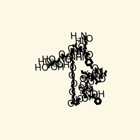 CC[C@H](C)[C@@H]([C@@H](CC(=O)N1CCC[C@H]1[C@H](OC)[C@@H](C)C(=O)N[C@H](C)C(O)c1ccccc1)OC)N(C)C(=O)[C@@H](NC(=O)[C@H](C(C)C)N(C)C(=O)OCc1ccc(NC(=O)[C@H](CCCNC(N)=O)NC(=O)[C@@H](NC(=O)[C@@H](CCC(=O)NC[C@H](O)[C@@H](O)[C@H](O)[C@H](O)CO)NC(=O)CCOCCOCCOCCOCCN2C(=O)C=CC2=O)C(C)C)cc1)C(C)C